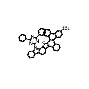 CC(C)(C)c1ccc2c(c1)c1ccccc1c1c3sc4c(ccc5c6ccccc6n(-c6nc(-c7ccccc7)nc(-c7ccccc7)n6)c54)c3c3ccccc3c21